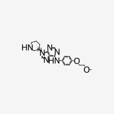 COCCOc1ccc(Nc2ncnc3c2ncn3[C@@H]2CCCNC2)cc1